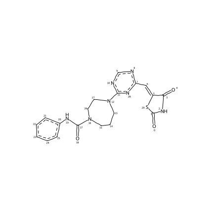 O=C1NC(=O)C(=Cc2ncnc(N3CCCN(C(=O)Nc4ccccc4)CC3)n2)S1